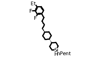 CCCCC[SiH]1CCC([C@H]2CC[C@H](CCCCc3ccc(CC)c(F)c3F)CC2)CC1